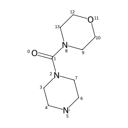 O=C(N1CC[N]CC1)N1CCOCC1